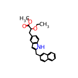 CCOC(Cc1ccc2[nH]c(Cc3ccc4ccccc4c3)cc2c1)C(=O)OC